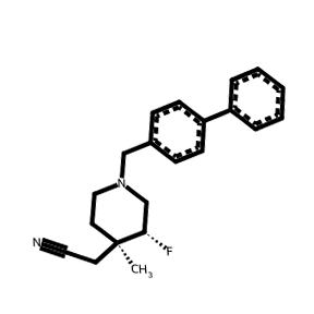 C[C@]1(CC#N)CCN(Cc2ccc(-c3ccccc3)cc2)C[C@@H]1F